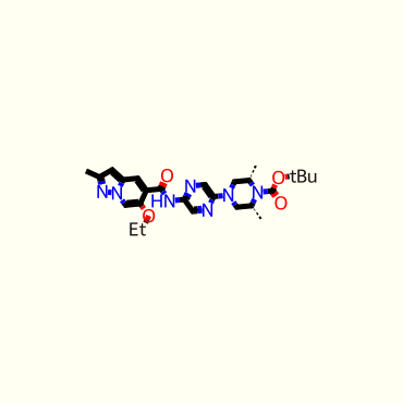 CCOc1cn2nc(C)cc2cc1C(=O)Nc1cnc(N2C[C@@H](C)N(C(=O)OC(C)(C)C)[C@@H](C)C2)cn1